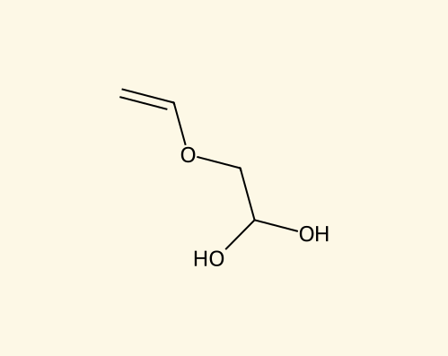 C=COCC(O)O